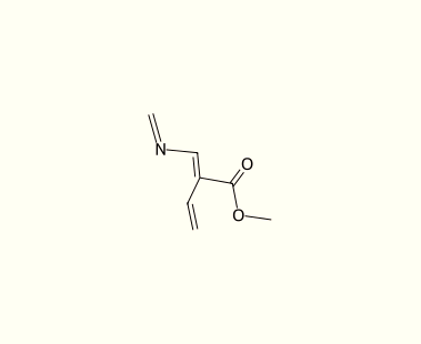 C=C/C(=C\N=C)C(=O)OC